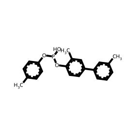 Cc1ccc(OP(O)Oc2ccc(-c3cccc(C)c3)cc2C)cc1